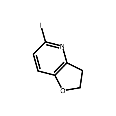 Ic1ccc2c(n1)CCO2